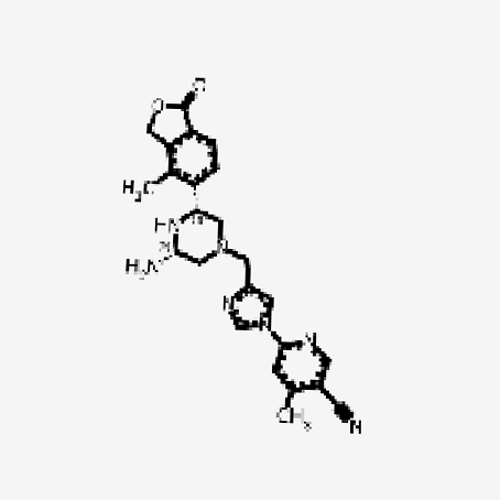 Cc1cc(-n2cnc(CN3C[C@@H](c4ccc5c(c4C)COC5=O)N[C@@H](N)C3)c2)ncc1C#N